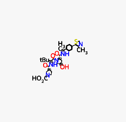 Cc1ncsc1-c1ccc([C@H](C)NC(=O)[C@@H]2C[C@@H](O)CN2C(=O)[C@@H](NC(=O)[C@@H]2CCN(C(=O)O)C2)C(C)(C)C)cc1